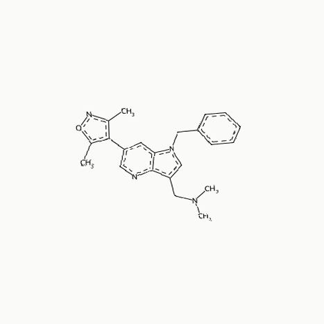 Cc1noc(C)c1-c1cnc2c(CN(C)C)cn(Cc3ccccc3)c2c1